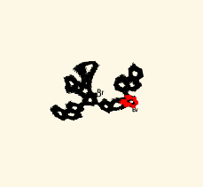 Brc1ccc(-c2cccc3c2ccc2ccccc23)c2c1C1c3ccccc3C2c2cc(-c3cc(-c4ccc5c(ccc6ccccc65)c4)c4c(c3Br)C3c5ccccc5C35c3ccccc3C45)ccc21